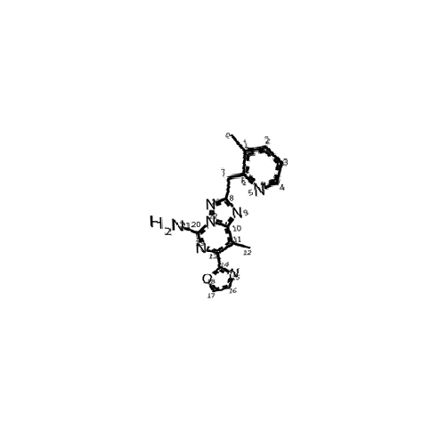 Cc1cccnc1Cc1nc2c(C)c(-c3ncco3)nc(N)n2n1